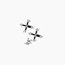 O=P([O-])([O-])[S-].O=P([O-])([O-])[S-].[Sb+3].[Sb+3]